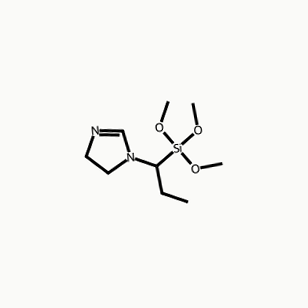 CCC(N1C=NCC1)[Si](OC)(OC)OC